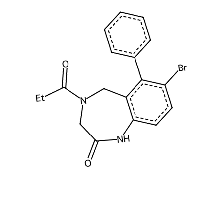 CCC(=O)N1CC(=O)Nc2ccc(Br)c(-c3ccccc3)c2C1